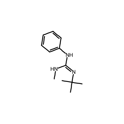 CN/C(=N\C(C)(C)C)Nc1ccccc1